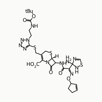 CC(C)(C)OC(=O)NCCn1nnnc1SCC1=C(C(=O)O)N2C(=O)C(NC(=O)/C(=N\OC3C=CCC3)C3(N)N=CSN3)[C@H]2SC1